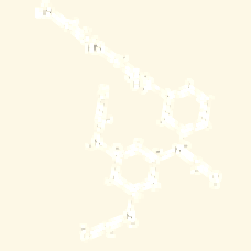 Cc1ccccc1.N=C=O.N=C=O.O=C=Nc1cc(N=C=O)cc(N=C=O)c1